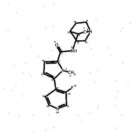 Cn1c(C(=O)NC2CN3CCC2CC3)ccc1-c1ccncc1F